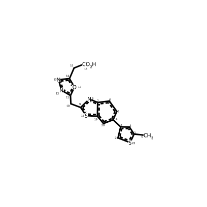 Cc1cc(-c2ccc3nc(Cc4nnc(CC(=O)O)o4)sc3c2)cs1